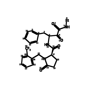 CCNC(=O)C(=O)C(Cc1ccccc1)NC(=O)[C@H]1CCC(=O)N1Cc1ccccc1C(F)(F)F